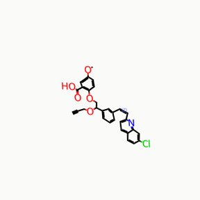 C#CCOC(COc1ccc(OC)cc1C(=O)O)c1cccc(/C=C\c2ccc3ccc(Cl)cc3n2)c1